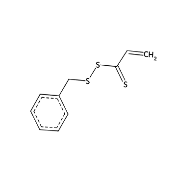 C=CC(=S)SSCc1ccccc1